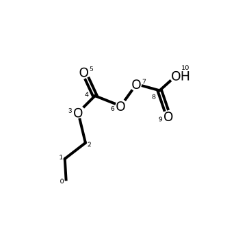 CCCOC(=O)OOC(=O)O